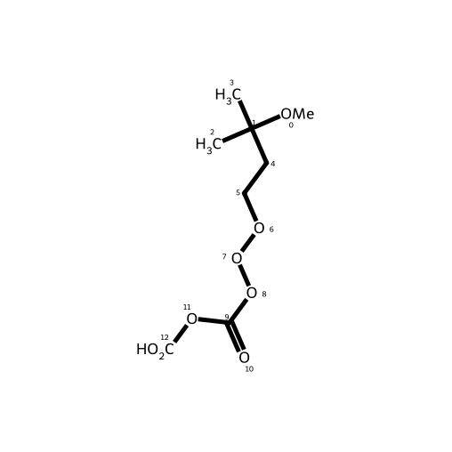 COC(C)(C)CCOOOC(=O)OC(=O)O